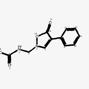 CC(=O)NCn1cc(-c2ccccc2)c(=O)o1